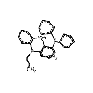 CCCP(CCC)c1ccccc1Nc1ccccc1P(c1ccccc1)c1ccccc1